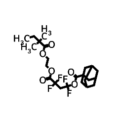 CCC(C)(C)C(=O)OCCOC(=O)C(F)(F)CC(F)(F)OC(=O)C12CC3CC(CC(C3)C1)C2